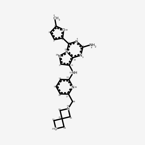 Cc1ccc(-c2nc(N)nc3c(Nc4cccc(CN5CC6(COC6)C5)n4)cnn23)o1